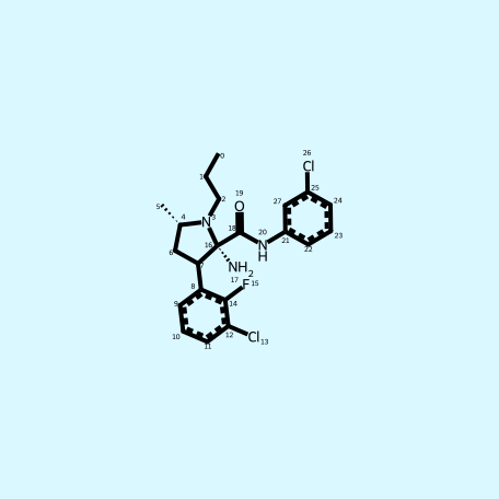 CCCN1[C@@H](C)CC(c2cccc(Cl)c2F)[C@]1(N)C(=O)Nc1cccc(Cl)c1